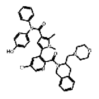 Cc1c(C(=O)N(c2ccccc2)c2ccc(O)cc2)cc(-c2cc(Cl)cnc2C(=O)N2Cc3ccccc3CC2CN2CCOCC2)n1C